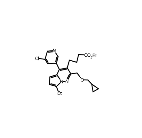 CCOC(=O)CCCc1c(COCC2CC2)nn2c(CC)ccc2c1-c1cncc(Cl)c1